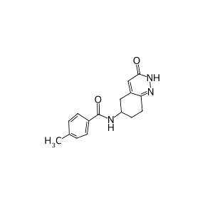 Cc1ccc(C(=O)NC2CCc3n[nH]c(=O)cc3C2)cc1